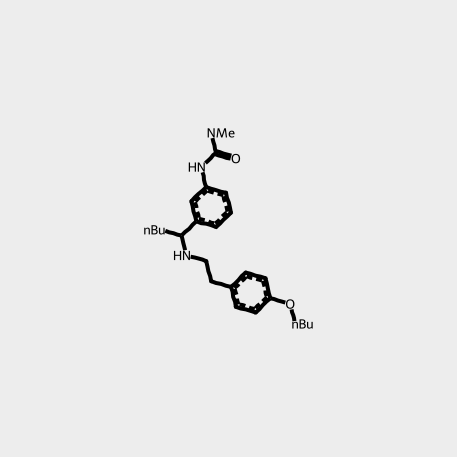 CCCCOc1ccc(CCNC(CCCC)c2cccc(NC(=O)NC)c2)cc1